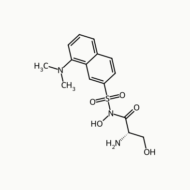 CN(C)c1cccc2ccc(S(=O)(=O)N(O)C(=O)[C@@H](N)CO)cc12